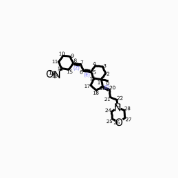 CC12CCC/C(=C\C=C3\CCCC(N=O)C3)C1CC/C2=C\CCN1CCOCC1